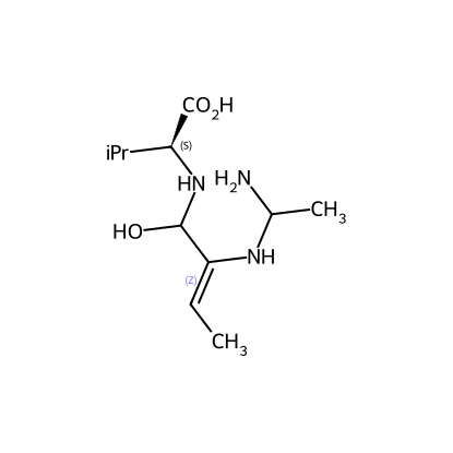 C/C=C(\NC(C)N)C(O)N[C@H](C(=O)O)C(C)C